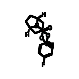 CC(C)(C)OC(=O)N1[C@@H]2CC[C@@H]1CC(Oc1ccc(F)cc1)C2